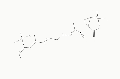 C\C=C(/C=C(C)/C=C/CC/C=C(\C)C(=O)[C@]12O[C@H]1C(C)(O)NC2=O)C(C)(C)C